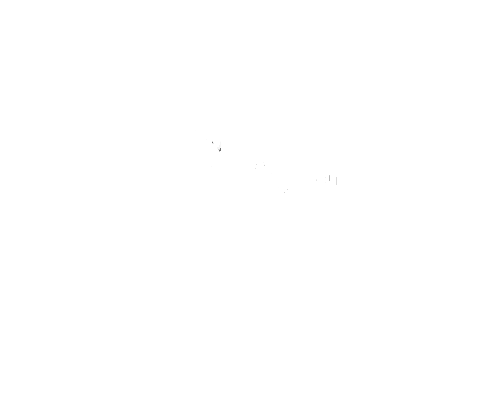 CCCC(=O)O.CCCN(C)C